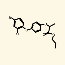 CCCOC(=O)C(C)Oc1ccc(Oc2ccc(Br)cc2Cl)cc1